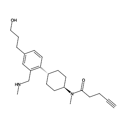 C#CCCC(=O)N(C)[C@H]1CC[C@H](c2ccc(CCCO)cc2CNC)CC1